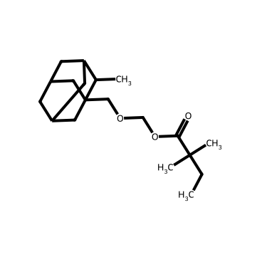 CCC(C)(C)C(=O)OCOCC12CC3CC(CC(C3)C1C)C2